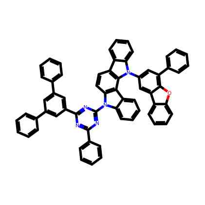 c1ccc(-c2cc(-c3ccccc3)cc(-c3nc(-c4ccccc4)nc(-n4c5ccccc5c5c4ccc4c6ccccc6n(-c6cc(-c7ccccc7)c7oc8ccccc8c7c6)c45)n3)c2)cc1